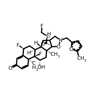 Cc1ccc(CN2C[C@@H]3C[C@H]4[C@@H]5C[C@H](F)C6=CC(=O)C=C[C@]6(C)[C@@]5(F)[C@@H](O)C[C@]4(C)[C@]3(C(=O)SCF)O2)o1